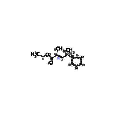 CCOC(=O)/C(C)=C/[C@H](C)c1ccccc1